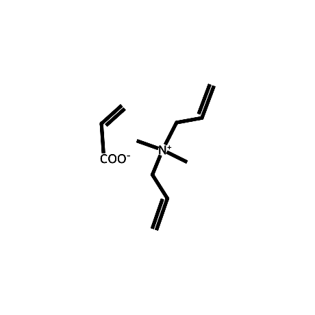 C=CC(=O)[O-].C=CC[N+](C)(C)CC=C